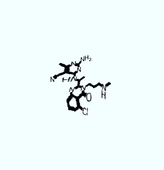 CNCCCn1c(C(C)Nc2nc(N)nc(C)c2C#N)nc2cccc(Cl)c2c1=O